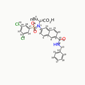 CCCCC(C(=O)O)N(c1ccc2cc(C(=O)NCc3ccccc3)ccc2c1)S(=O)(=O)c1cc(Cl)cc(Cl)c1